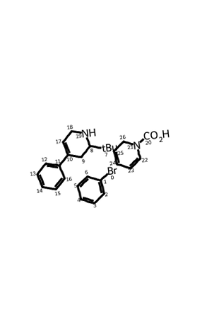 Brc1ccccc1.CC(C)(C)C1CC(c2ccccc2)=CCN1.O=C(O)N1C=CC=CC1